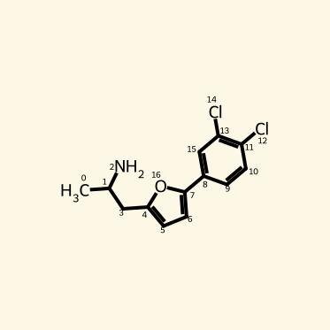 CC(N)Cc1ccc(-c2ccc(Cl)c(Cl)c2)o1